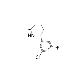 CC[C@@H](NC(C)C)c1cc(F)cc(Cl)c1